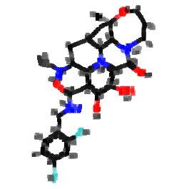 CCNC1CC2C3C4[C@@H]2OCCCN4C(=O)c2c(O)c(=O)c(C(=O)NCc4ccc(F)cc4F)c1n23